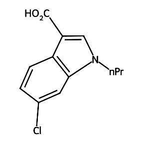 CCCn1cc(C(=O)O)c2ccc(Cl)cc21